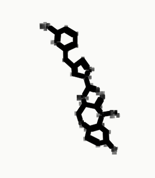 Cc1cccc(Cc2cnn(C(=O)NC3COc4ccc(Br)cc4N(C)C3=O)c2)n1